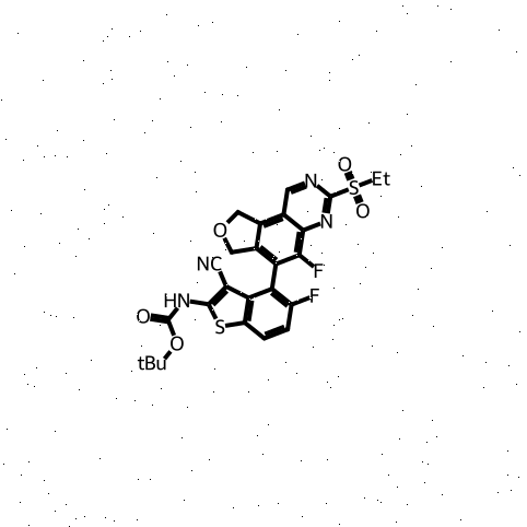 CCS(=O)(=O)c1ncc2c3c(c(-c4c(F)ccc5sc(NC(=O)OC(C)(C)C)c(C#N)c45)c(F)c2n1)COC3